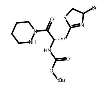 CC(C)(C)OC(=O)N[C@@H](CC1=NC(Br)CS1)C(=O)N1CCCCN1